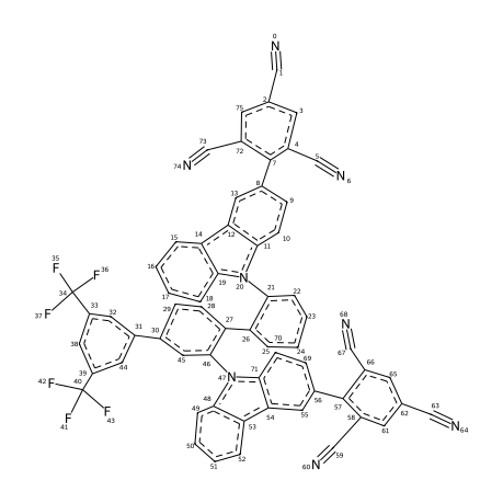 N#Cc1cc(C#N)c(-c2ccc3c(c2)c2ccccc2n3-c2ccccc2-c2ccc(-c3cc(C(F)(F)F)cc(C(F)(F)F)c3)cc2-n2c3ccccc3c3cc(-c4c(C#N)cc(C#N)cc4C#N)ccc32)c(C#N)c1